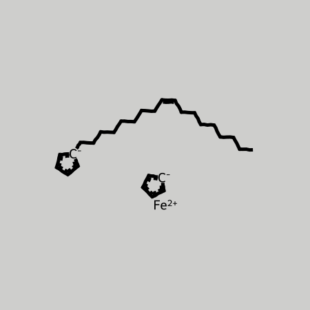 CCCCCCCC/C=C\CCCCCCCC[c-]1cccc1.[Fe+2].c1cc[cH-]c1